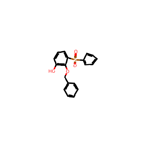 O=S(=O)(c1ccccc1)c1cccc(O)c1OCc1ccccc1